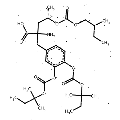 CCC(C)COC(=O)O[C@@H](C)CC(N)(Cc1ccc(OC(=O)OC(C)(C)CC)c(OC(=O)OC(C)(C)CC)c1)C(=O)O